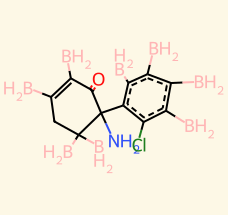 BC1=C(B)C(=O)C(N)(c2c(B)c(B)c(B)c(B)c2Cl)C(B)(B)C1